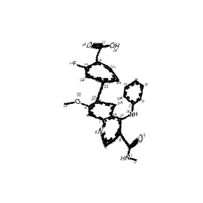 CNC(=O)c1cnc2cc(OC)c(-c3ccc(C(=O)O)c(F)c3)cc2c1Nc1ccccc1